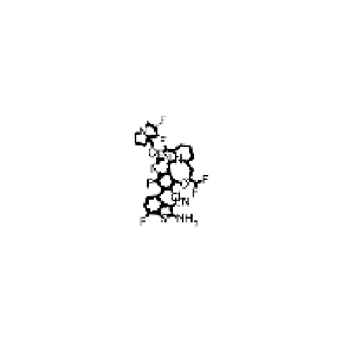 N#Cc1c(N)sc2c(F)ccc(-c3c(Cl)c4c5c(nc(OCC67CCCN6C[C@H](F)C7)nc5c3F)N3C(CCCC3C(F)F)CC(C(F)F)O4)c12